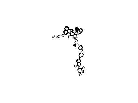 COCOc1cc(-c2ncc3c(N4CC5CCC(C5)C4)nc(OCC4(CN5CCC(CN6CCN(c7ccc8c(c7)CN([C@H]7CCC(=O)NC7=O)C8=O)CC6)CC5)CC4)nc3c2F)c2c(C#C[Si](C(C)C)(C(C)C)C(C)C)cccc2c1